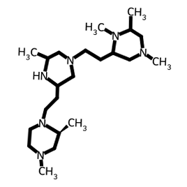 CC1CN(CCC2CN(C)CC(C)N2C)CC(CCN2CCN(C)C[C@@H]2C)N1